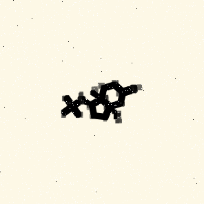 CC(C)(C)O[C@@H]1CC[C@@H]2CC(=O)CC[C@]21C